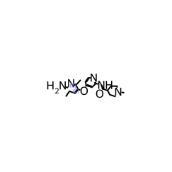 CC/C=C(Oc1ccnc(NC(=O)C2CCN(C)CC2)c1)\C(C)=N/CN